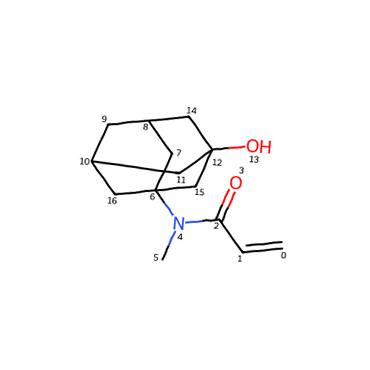 C=CC(=O)N(C)C12CC3CC(CC(O)(C3)C1)C2